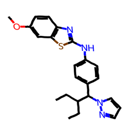 CCC(CC)C(c1ccc(Nc2nc3ccc(OC)cc3s2)cc1)n1cccn1